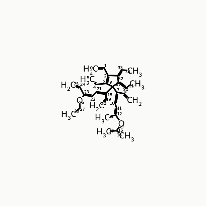 C=CC1=C(C=C)C(/C(C=C)=C/C=C(\C)OC(C)C)(/C(C=C)=C/C=C(\C=C)OCC)C(=C/C)/C1=C\C